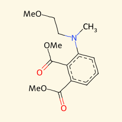 COCCN(C)c1cccc(C(=O)OC)c1C(=O)OC